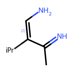 CC(=N)/C(=C\N)C(C)C